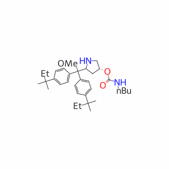 CCCCNC(=O)O[C@H]1CNC(C(OC)(c2ccc(C(C)(C)CC)cc2)c2ccc(C(C)(C)CC)cc2)C1